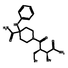 CCC[C@H](C(N)=O)[C@@H](CC(C)C)C(=O)N1CCC(Nc2ccccc2)(C(N)=O)CC1